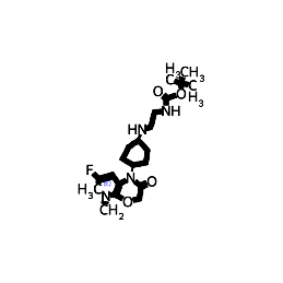 C=NC1=C(/C=C(\C)F)N([C@H]2CC[C@H](NCCNC(=O)OC(C)(C)C)CC2)C(=O)CO1